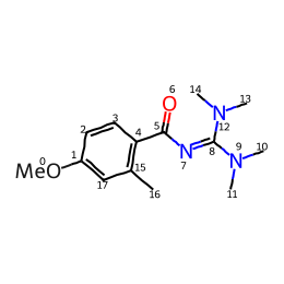 COc1ccc(C(=O)N=C(N(C)C)N(C)C)c(C)c1